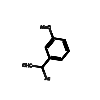 COc1cccc(C(C=O)C(C)=O)c1